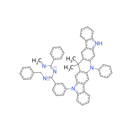 C=N/C(=N\C(=N/Cc1ccccc1)c1cccc(-n2c3ccccc3c3cc4c(cc32)C(C)(C)c2cc3c(cc2N4c2ccccc2)[nH]c2ccccc23)c1)c1ccccc1